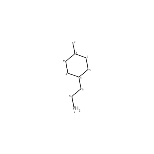 CC1CCC(CCP)CC1